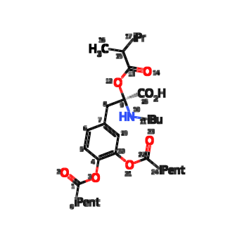 CCCC(C)C(=O)Oc1ccc(C[C@](NC(C)CC)(OC(=O)C(C)C(C)C)C(=O)O)cc1OC(=O)C(C)CCC